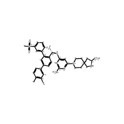 Cc1ccc(-c2ccc([C@@H](Oc3cc(N4CCC5(CC4)CNC(C(=O)O)C5)nc(N)n3)C(F)(F)F)c(-c3cccc(S(C)(=O)=O)c3)c2)cc1C